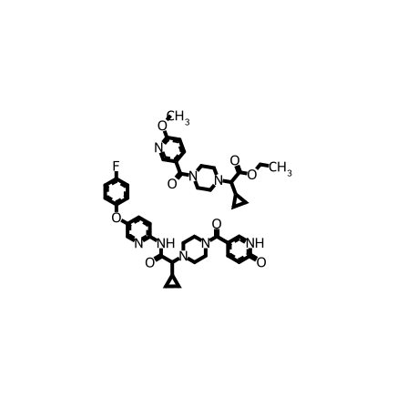 CCOC(=O)C(C1CC1)N1CCN(C(=O)c2ccc(OC)nc2)CC1.O=C(Nc1ccc(Oc2ccc(F)cc2)cn1)C(C1CC1)N1CCN(C(=O)c2ccc(=O)[nH]c2)CC1